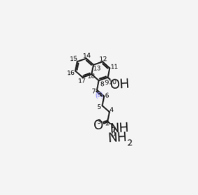 NNC(=O)CC/C=C/c1c(O)ccc2ccccc12